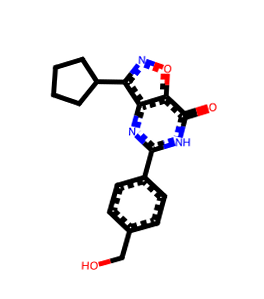 O=c1[nH]c(-c2ccc(CO)cc2)nc2c(C3CCCC3)noc12